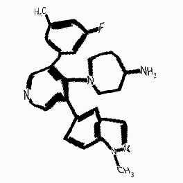 Cc1cc(F)cc(-c2cncc(-c3ccc4c(cnn4C)c3)c2N2CCC(N)CC2)c1